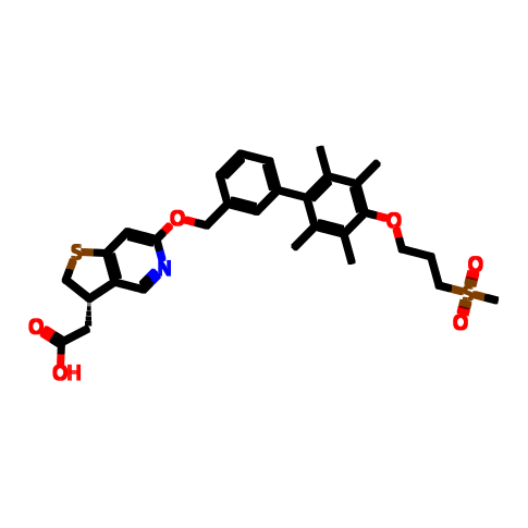 Cc1c(C)c(-c2cccc(COc3cc4c(cn3)[C@H](CC(=O)O)CS4)c2)c(C)c(C)c1OCCCS(C)(=O)=O